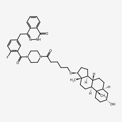 C[C@]12CC[C@@H](O)C[C@@H]1CC[C@@H]1[C@@H]2CC[C@]2(C)[C@@H](OCCCCC(=O)N3CCN(C(=O)c4cc(Cc5n[nH]c(=O)c6ccccc56)ccc4F)CC3)CC[C@@H]12